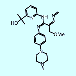 C=N/C=C(COC)\C(=N/c1ccc(N2CCN(C)CC2)cc1)Nc1cccc(C(C)(C)O)n1